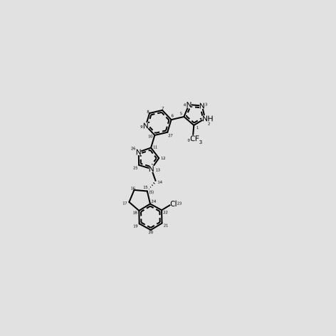 FC(F)(F)c1[nH]nnc1-c1ccnc(-c2cn(C[C@H]3CCc4cccc(Cl)c43)cn2)c1